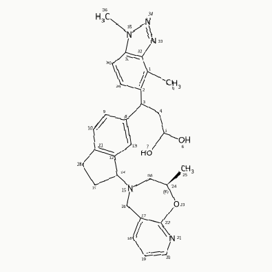 Cc1c(C(CC(O)O)c2ccc3c(c2)C(N2Cc4cccnc4O[C@H](C)C2)CC3)ccc2c1nnn2C